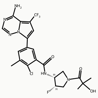 Cc1cc(-c2cc(C(F)(F)F)c3c(N)ncnn23)cc(C(=O)N[C@@H]2CN(C(=O)C(C)(C)O)C[C@@H]2F)c1Cl